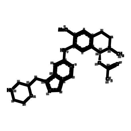 COc1cc2c(cc1Nc1ncc3cnn(CC4CNCCO4)c3n1)[C@@H](OC(=O)C(F)(F)F)N(C)CC2